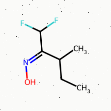 CCC(C)/C(=N\O)C(F)F